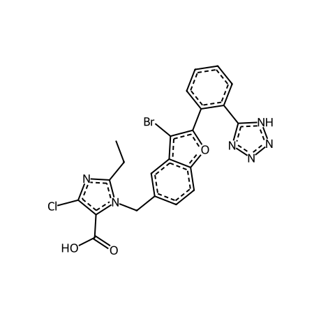 CCc1nc(Cl)c(C(=O)O)n1Cc1ccc2oc(-c3ccccc3-c3nnn[nH]3)c(Br)c2c1